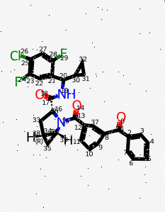 O=C(c1ccccc1)c1cccc(C(=O)N2[C@@H](C(=O)NC(c3cc(F)c(Cl)cc3F)C3CC3)C[C@H]3C[C@H]32)c1